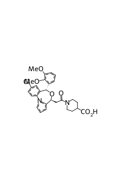 COc1cccc([C@@H]2O[C@@H](CC(=O)N3CCC(C(=O)O)CC3)c3cccn3-c3ccc(Cl)cc32)c1OC